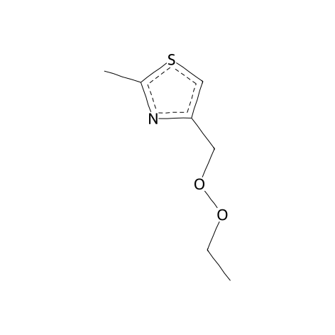 CCOOCc1csc(C)n1